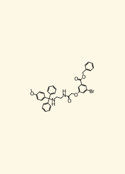 COc1ccc(C(NCCNC(=O)COc2cc(Br)cc(C(=O)OCc3ccccc3)c2)(c2ccccc2)c2ccccc2)cc1